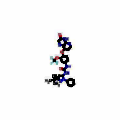 CC(C)(C)c1cc(NC(=O)Nc2ccc(Oc3ccnc4[nH]c(=O)cnc34)c(OC(F)(F)F)c2)n(-c2ccccc2)n1